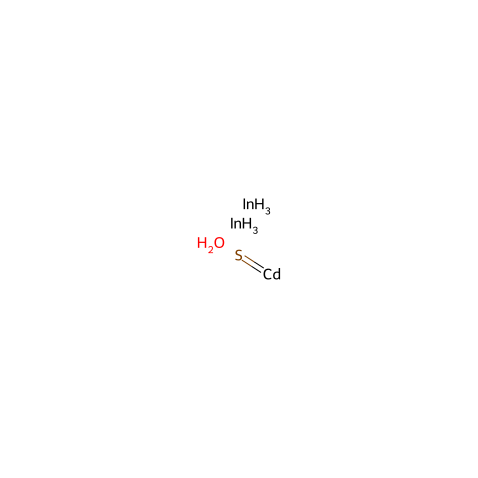 O.[InH3].[InH3].[S]=[Cd]